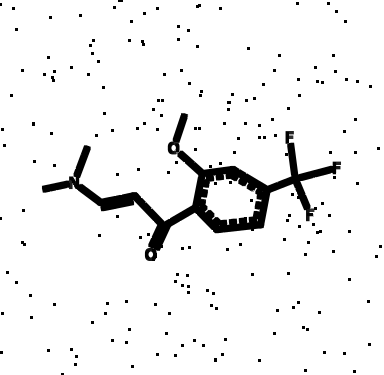 COc1cc(C(F)(F)F)ccc1C(=O)C=CN(C)C